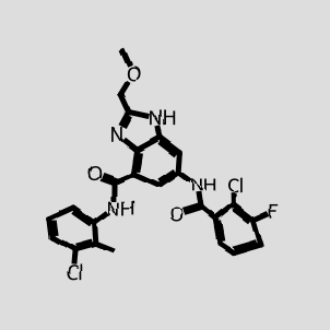 COCc1nc2c(C(=O)Nc3cccc(Cl)c3C)cc(NC(=O)c3cccc(F)c3Cl)cc2[nH]1